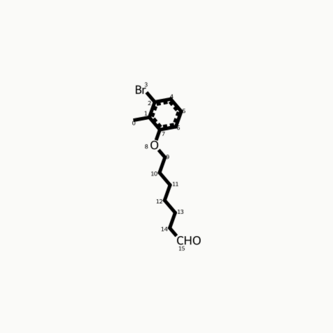 Cc1c(Br)cccc1OCCCCCCC=O